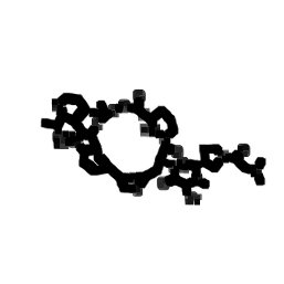 CCn1c(-c2cccnc2[C@H](C)OC)c2c3cc(ccc31)-c1csc(n1)C[C@H](NC(=O)C(C(C)C)N(C)C(=O)[C@H]1CCN(C(=O)CN(C)C)C1)C(=O)N1CCC[C@H](N1)C(=O)OCC(C)(C)C2